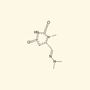 CN(C)N=Cc1cc(=O)[nH]c(=O)n1C